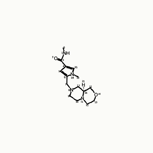 CNC(=O)c1cc(CN2CCN3CCOC[C@@H]3C2)n(C)c1